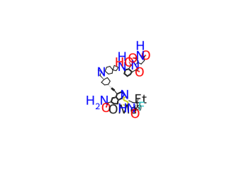 CCC1C(CSc2ncc(C#C[C@H]3CC[C@H](CN(C)C4CCC5(CC4)CC(Nc4cccc6c4C(O)N(C4CCC(=O)NC4=O)C6=O)C5)CC3)c3cc(C(N)=O)c(OC)cc23)NC(=O)[C@H]1F